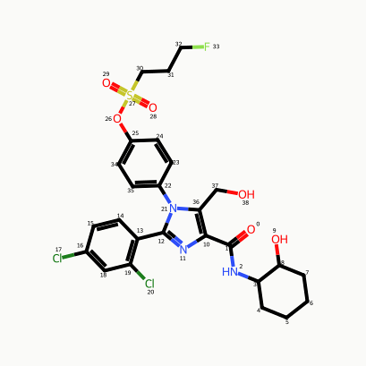 O=C(NC1CCCCC1O)c1nc(-c2ccc(Cl)cc2Cl)n(-c2ccc(OS(=O)(=O)CCCF)cc2)c1CO